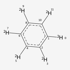 [2H]c1c([2H])c([2H])c([2H])c([2H])c1[2H]